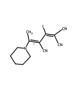 C/C(=C(/C#N)C(I)=C(C#N)C#N)N1CCCCC1